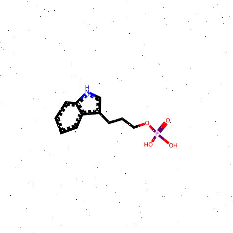 O=P(O)(O)OCCCc1c[nH]c2ccccc12